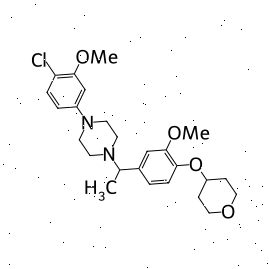 COc1cc(N2CCN(C(C)c3ccc(OC4CCOCC4)c(OC)c3)CC2)ccc1Cl